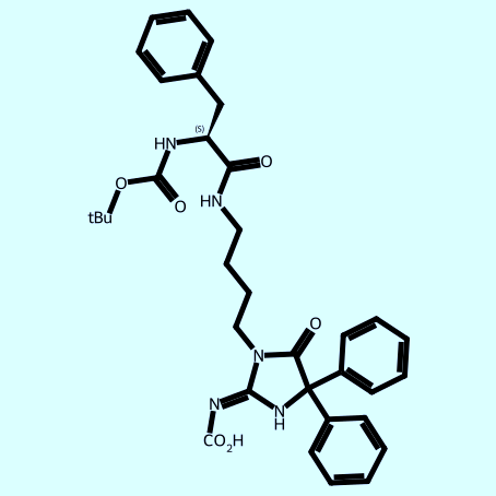 CC(C)(C)OC(=O)N[C@@H](Cc1ccccc1)C(=O)NCCCCN1C(=O)C(c2ccccc2)(c2ccccc2)NC1=NC(=O)O